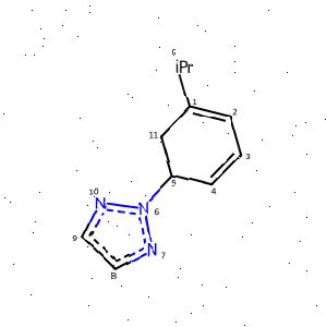 CC(C)C1=CC=CC(n2nccn2)C1